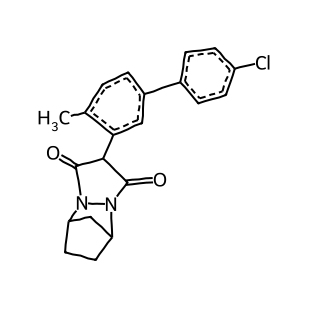 Cc1ccc(-c2ccc(Cl)cc2)cc1C1C(=O)N2C3CCC(C3)N2C1=O